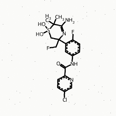 CC1(C)C(N)=NC(CF)(c2cc(NC(=O)c3ccc(Cl)cn3)ccc2F)CS1(O)O